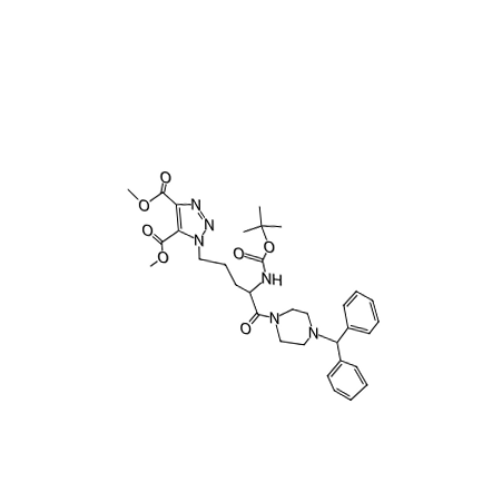 COC(=O)c1nnn(CCCC(NC(=O)OC(C)(C)C)C(=O)N2CCN(C(c3ccccc3)c3ccccc3)CC2)c1C(=O)OC